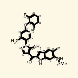 CSNc1cc2[nH]c(C(=O)c3cnn(-c4cnc(Oc5c(F)cccc5F)cc4C)c3N)cc2cc1I